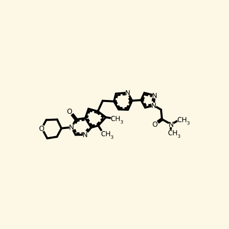 Cc1c(Cc2ccc(-c3cnn(CC(=O)N(C)C)c3)nc2)cc2c(=O)n(C3CCOCC3)cnc2c1C